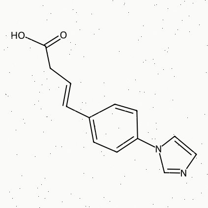 O=C(O)CC=Cc1ccc(-n2ccnc2)cc1